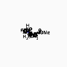 COC(=O)CCc1cccc(C2=C/C(=C3\C(=O)Nc4cc(F)ccc43)OC2(C)C)c1